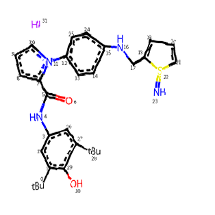 CC(C)(C)c1cc(NC(=O)c2cccn2-c2ccc(NCC3=CC=CS3=N)cc2)cc(C(C)(C)C)c1O.I